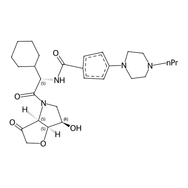 CCCN1CCN(c2ccc(C(=O)N[C@H](C(=O)N3C[C@@H](O)[C@H]4OCC(=O)[C@H]43)C3CCCCC3)cc2)CC1